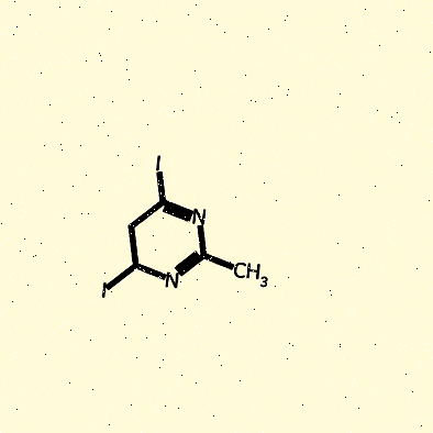 CC1=NC(I)CC(I)=N1